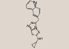 c1cnc2ccc(Cc3nnc4sc(NC5CC5)nn34)cc2c1